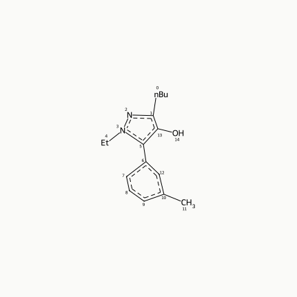 CCCCc1nn(CC)c(-c2cccc(C)c2)c1O